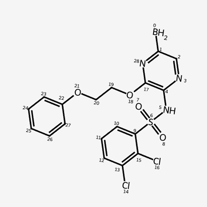 Bc1cnc(NS(=O)(=O)c2cccc(Cl)c2Cl)c(OCCOc2ccccc2)n1